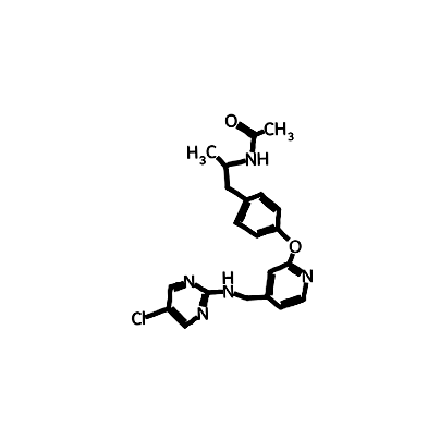 CC(=O)NC(C)Cc1ccc(Oc2cc(CNc3ncc(Cl)cn3)ccn2)cc1